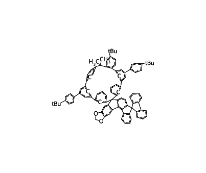 CC(C)(C)c1ccc(-c2cc3cc(c2)-c2cccc(c2)C2(c4cccc(c4)-c4cc(-c5ccc(C(C)(C)C)cc5)cc(c4)-c4ccc(C(C)(C)C)cc4C(C)(C)c4ccc-3cc4)c3cc4c(cc3-c3c2ccc2c3-c3ccccc3C23c2ccccc2-c2ccccc23)OCO4)cc1